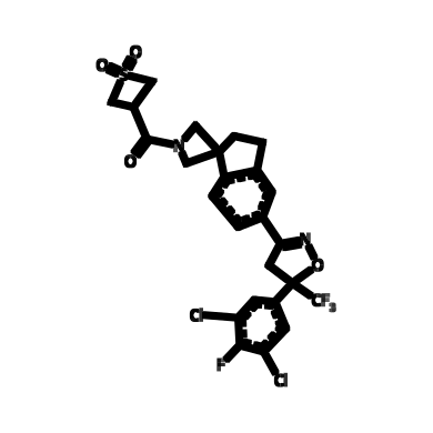 O=C(C1CS(=O)(=O)C1)N1CC2(CCc3cc(C4=NOC(c5cc(Cl)c(F)c(Cl)c5)(C(F)(F)F)C4)ccc32)C1